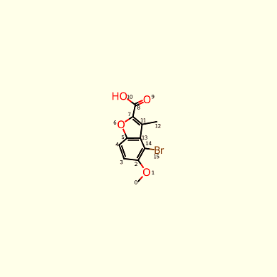 COc1ccc2oc(C(=O)O)c(C)c2c1Br